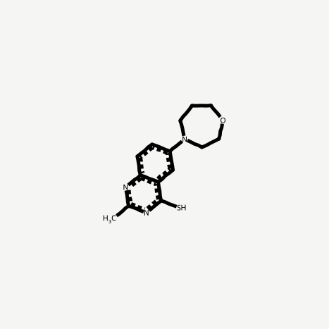 Cc1nc(S)c2cc(N3CCCOCC3)ccc2n1